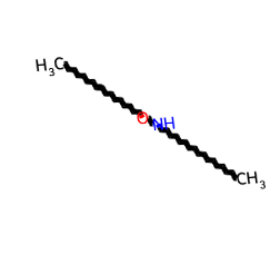 CCCCCCCCC=CCCCCCCCCOCCNCCCCCCCCCCCCCCCCCC